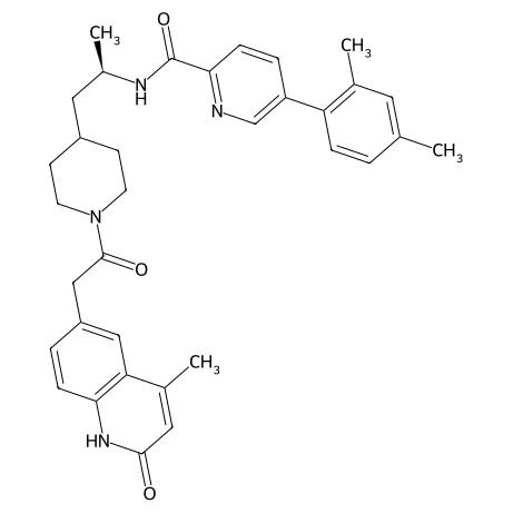 Cc1ccc(-c2ccc(C(=O)N[C@H](C)CC3CCN(C(=O)Cc4ccc5[nH]c(=O)cc(C)c5c4)CC3)nc2)c(C)c1